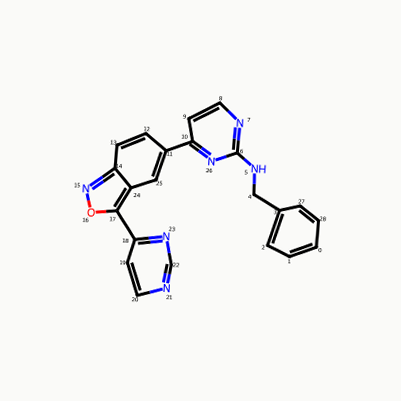 c1ccc(CNc2nccc(-c3ccc4noc(-c5ccncn5)c4c3)n2)cc1